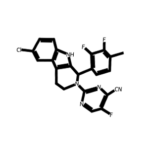 Cc1ccc(C2c3[nH]c4ccc(Cl)cc4c3CCN2c2ncc(F)c(C#N)n2)c(F)c1F